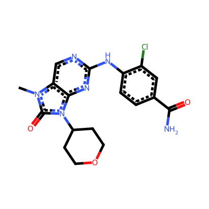 Cn1c(=O)n(C2CCOCC2)c2nc(Nc3ccc(C(N)=O)cc3Cl)ncc21